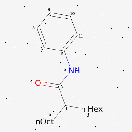 CCCCCCCCC(CCCCCC)C(=O)Nc1[c]cccc1